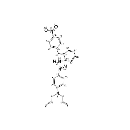 C=CCN(CC=C)c1ccc(N=NC2(N)C=CC=CC2=Cc2ccc([N+](=O)[O-])cc2)cc1